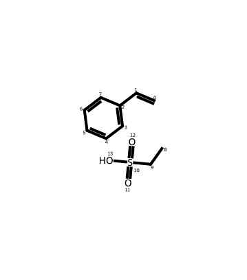 C=Cc1ccccc1.CCS(=O)(=O)O